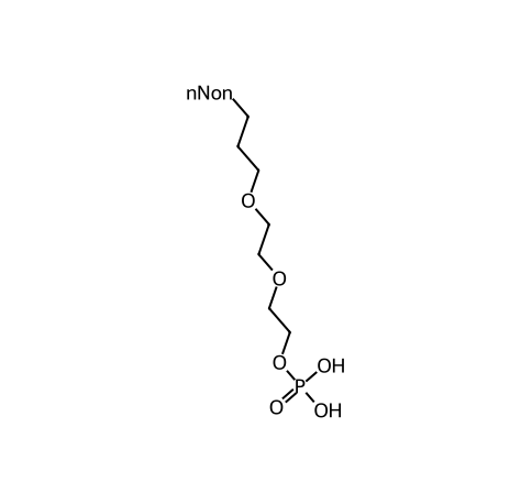 CCCCCCCCCCCCOCCOCCOP(=O)(O)O